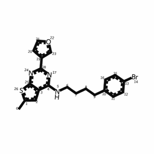 Cc1cc2c(NCCCCc3ccc(Br)cc3)nc(-c3ccoc3)nc2s1